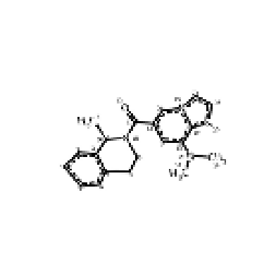 C[C@@H]1c2ccccc2CCN1C(=O)c1cc(N(C)C)c2nccn2c1